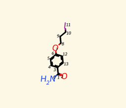 NC(=O)c1ccc(OCCCI)cc1